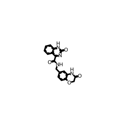 O=C1COc2ccc(CNC(=O)c3nc(=O)[nH]c4ccccc34)cc2N1